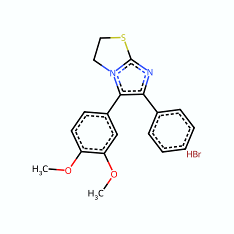 Br.COc1ccc(-c2c(-c3ccccc3)nc3n2CCS3)cc1OC